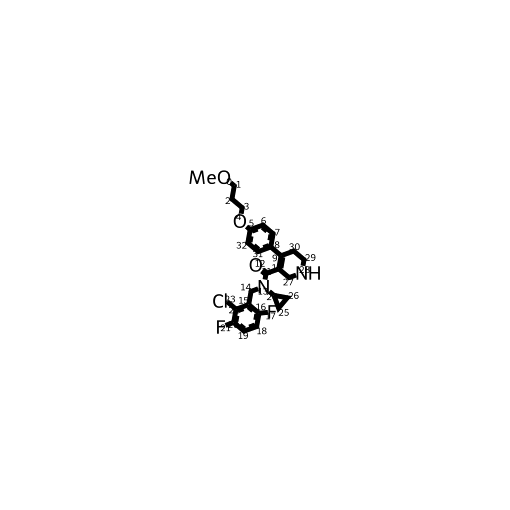 COCCCOc1ccc(C2=C(C(=O)N(Cc3c(F)ccc(F)c3Cl)C3CC3)CNCC2)cc1